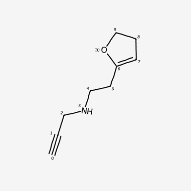 C#CCNCCC1=CCCO1